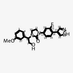 COc1cccc(C(CO)N2CCN(c3ccc(-c4cn[nH]c4)c(F)c3)C2=O)c1